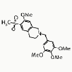 COc1cc2c(cc1S(C)(=O)=O)CCN(Cc1cc(OC)c(OC)c(OC)c1)C2